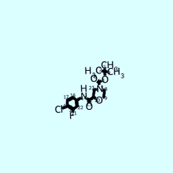 CC(C)(C)OC(=O)N1CCOC(C(=O)Nc2ccc(Cl)c(F)c2)C1